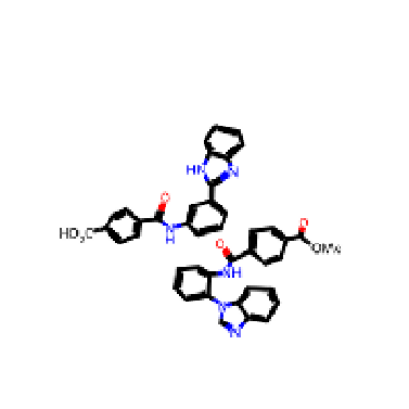 COC(=O)c1ccc(C(=O)Nc2ccccc2-n2cnc3ccccc32)cc1.O=C(O)c1ccc(C(=O)Nc2cccc(-c3nc4ccccc4[nH]3)c2)cc1